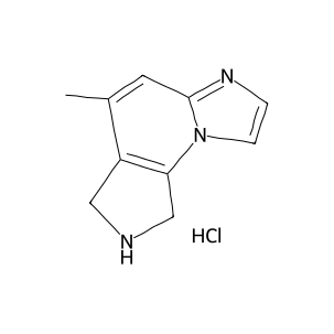 Cc1cc2nccn2c2c1CNC2.Cl